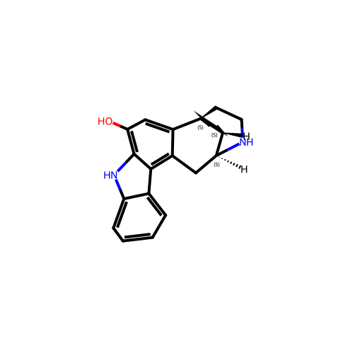 Oc1cc2c(c3c1[nH]c1ccccc13)C[C@@H]1NCC[C@]23CCCC[C@H]13